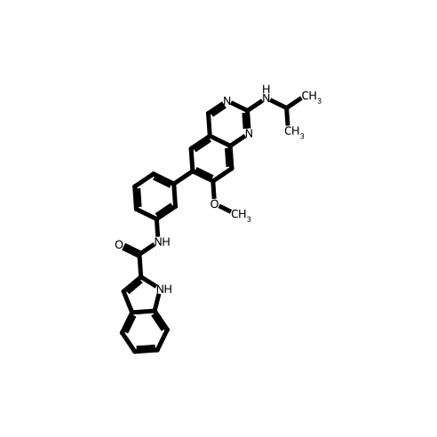 COc1cc2nc(NC(C)C)ncc2cc1-c1cccc(NC(=O)c2cc3ccccc3[nH]2)c1